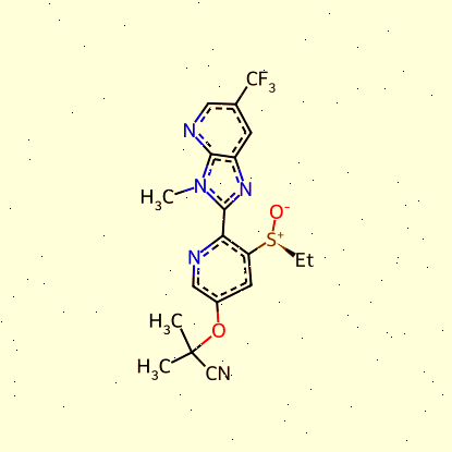 CC[S@+]([O-])c1cc(OC(C)(C)C#N)cnc1-c1nc2cc(C(F)(F)F)cnc2n1C